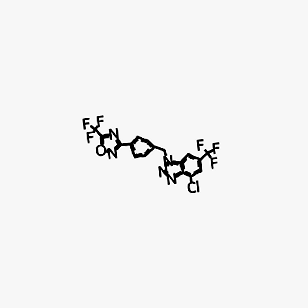 FC(F)(F)c1cc(Cl)c2nnn(Cc3ccc(-c4noc(C(F)(F)F)n4)cc3)c2c1